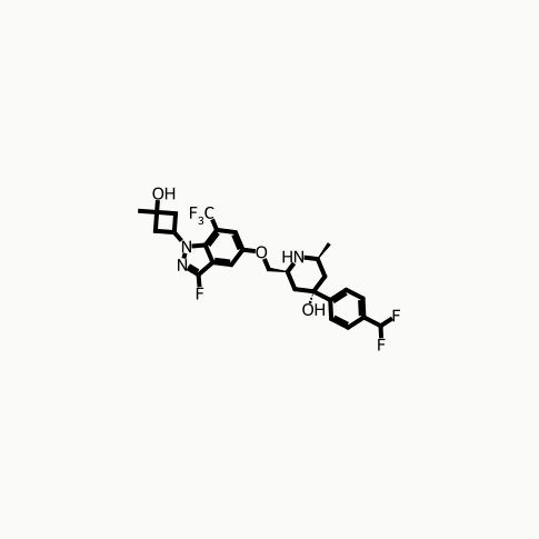 C[C@H]1C[C@@](O)(c2ccc(C(F)F)cc2)C[C@@H](COc2cc(C(F)(F)F)c3c(c2)c(F)nn3C2CC(C)(O)C2)N1